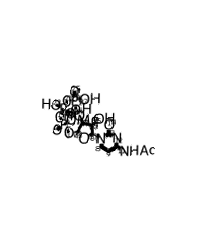 COP(=O)(O[C@H]1O[C@@H](n2ccc(NC(C)=O)nc2=O)[C@H](O)[C@@H]1O)OP(=O)(O)OP(=O)(O)O